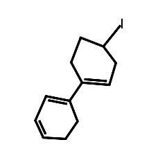 IC1CC=C(C2=CC=CCC2)CC1